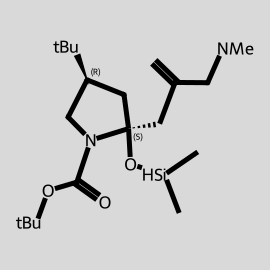 C=C(CNC)C[C@@]1(O[SiH](C)C)C[C@H](C(C)(C)C)CN1C(=O)OC(C)(C)C